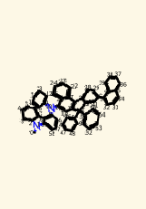 Cn1c2ccccc2c2c(N(c3ccccc3)c3cc4c(c5ccccc35)-c3ccc(-c5cccc6ccccc56)cc3C4(c3ccccc3)c3ccccc3)cccc21